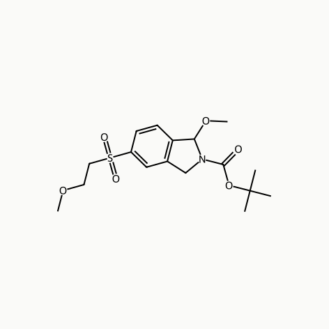 COCCS(=O)(=O)c1ccc2c(c1)CN(C(=O)OC(C)(C)C)C2OC